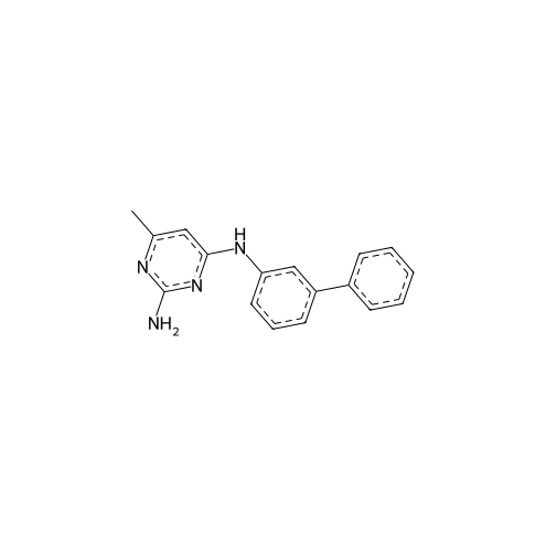 Cc1cc(Nc2cccc(-c3ccccc3)c2)nc(N)n1